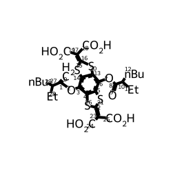 C=C(Oc1c2c(c(OC(=O)C(CC)CCCC)c3c1SC(=C(C(=O)O)C(=O)O)S3)SC(=C(C(=O)O)C(=O)O)S2)C(CC)CCCC